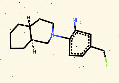 Nc1cc(CF)ccc1N1CC[C@H]2CCCC[C@@H]2C1